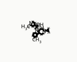 Cc1ccc2c(c1)c1c(n2CC(C)(O)c2ccnc(C)c2)CCN(C2CC2)CC1